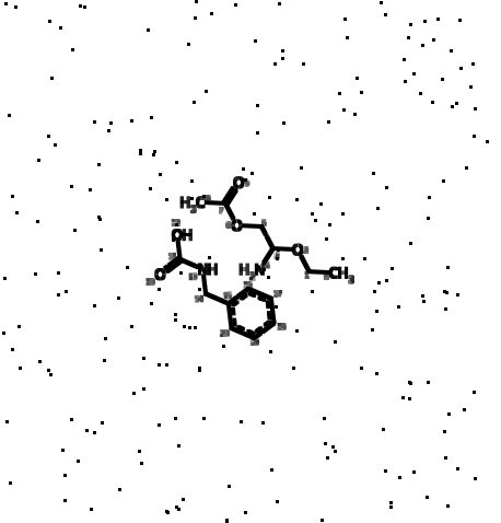 CCOC(N)COC(C)=O.O=C(O)NCc1ccccc1